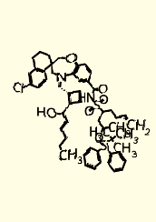 C=CCCC(CC(C)O[Si](c1ccccc1)(c1ccccc1)C(C)(C)C)S(=O)(=O)NC(=O)c1ccc2c(c1)N(C[C@@H]1CC[C@H]1C(O)/C=C/CCC)C[C@@]1(CCCc3cc(Cl)ccc31)CO2